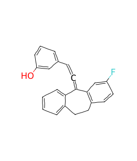 Oc1cccc(C=C=C2c3ccccc3CCc3ccc(F)cc32)c1